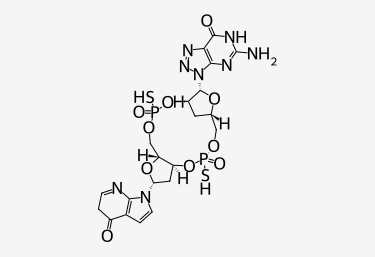 Nc1nc2c(nnn2[C@@H]2O[C@@H]3COP(=O)(S)O[C@H]4C[C@H](n5ccc6c5N=CCC6=O)O[C@@H]4COP(=O)(S)O[C@@H]2C3)c(=O)[nH]1